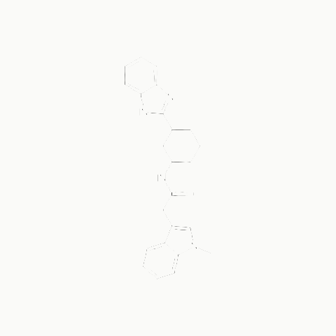 Cn1cc(CC(=O)NC2CCCC(c3nc4ccccc4[nH]3)C2)c2ccccc21